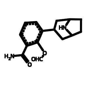 NC(=O)c1cccc(C2CC3CCC(C2)N3)c1OC=O